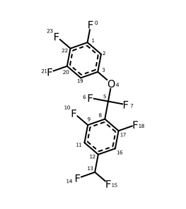 Fc1cc(OC(F)(F)c2c(F)cc(C(F)F)cc2F)cc(F)c1F